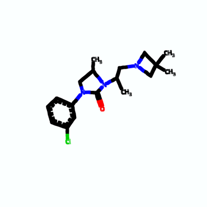 CC(CN1CC(C)(C)C1)N1C(=O)N(c2cccc(Cl)c2)CC1C